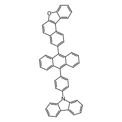 c1ccc2c(c1)oc1ccc3cc(-c4c5ccccc5c(-c5ccc(-n6c7ccccc7c7ccccc76)cc5)c5ccccc45)ccc3c12